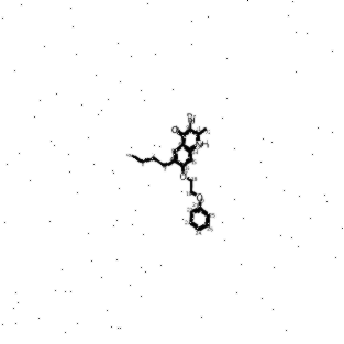 CCCCc1cc2c(=O)c(Br)c(C)[nH]c2cc1OCCOc1ccccc1